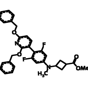 COC(=O)C1CC(N(C)c2cc(F)c(-c3ccc(OCc4ccccc4)nc3OCc3ccccc3)c(F)c2)C1